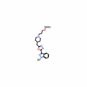 CNOCCCN1CCC(Cc2nnc(-c3nn(C(C)C)c4ccccc34)o2)CC1